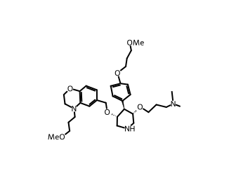 COCCCOc1ccc([C@@H]2[C@@H](OCc3ccc4c(c3)N(CCCOC)CCO4)CNC[C@H]2OCCCN(C)C)cc1